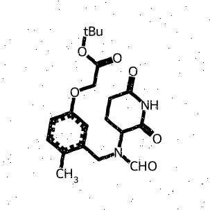 Cc1ccc(OCC(=O)OC(C)(C)C)cc1CN(C=O)C1CCC(=O)NC1=O